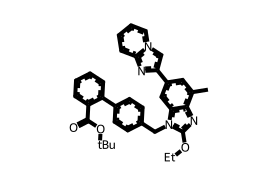 CCOc1nc2c(C)cc(-c3cn4ccccc4n3)cc2n1Cc1ccc(-c2ccccc2C(=O)OC(C)(C)C)cc1